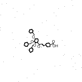 O=C(O)c1ccc(/C=C/C(=O)c2ccc(OCc3ccccc3)c(OCc3ccccc3)c2OCc2ccccc2)cc1